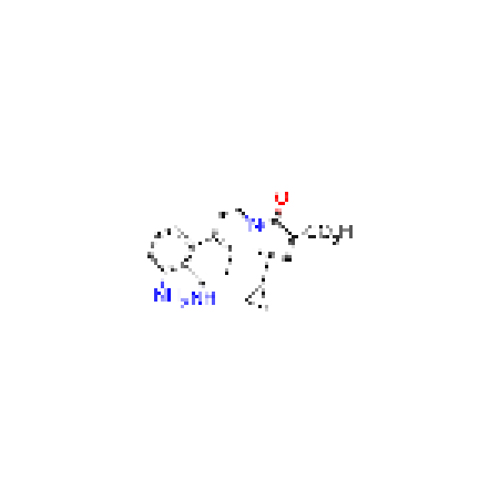 Cc1c(-c2cccc(N)c2C=N)ccn2c(=O)c(C(=O)O)cc(C3CC3)c12